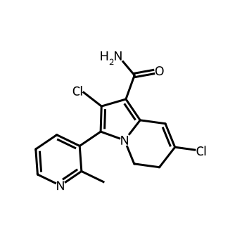 Cc1ncccc1-c1c(Cl)c(C(N)=O)c2n1CCC(Cl)=C2